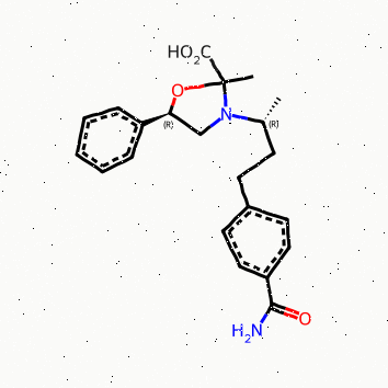 C[C@H](CCc1ccc(C(N)=O)cc1)N1C[C@@H](c2ccccc2)OC1(C)C(=O)O